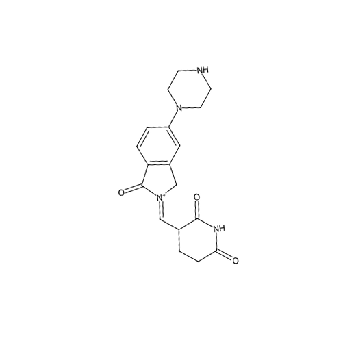 O=C1CCC(/C=[N+]2\Cc3cc(N4CCNCC4)ccc3C2=O)C(=O)N1